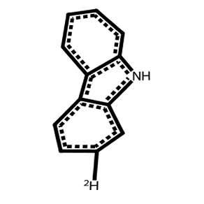 [2H]c1ccc2c(c1)[nH]c1ccccc12